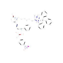 O=C(Oc1ccc([N+](=O)[O-])cc1)O[C@H](/C=C/[C@H]1CCC(=O)N1CCCCCCc1nnn(C(c2ccccc2)(c2ccccc2)c2ccccc2)n1)C(F)(F)c1ccccc1